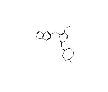 COc1cnc(/N=C2/CCC(C)CNC2)nc1Nc1ccc2[nH]ncc2c1